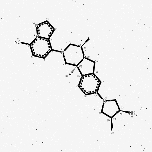 C[C@@H]1CN(c2ccc(C#N)n3nccc23)C[C@@H]2c3ccc(N4C[C@@H](N)[C@@H](F)C4)cc3CN12